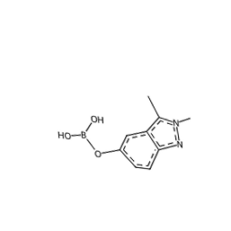 Cc1c2cc(OB(O)O)ccc2nn1C